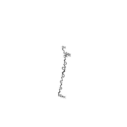 CCCCCCCCCCCCCOCCOCCOCCOCCOCCO[Si](C)(CCCS)OCC